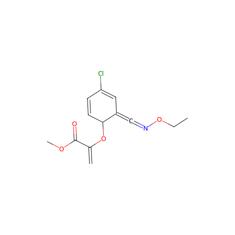 C=C(OC1C=CC(Cl)=CC1=C=NOCC)C(=O)OC